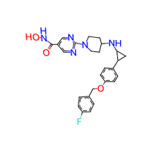 O=C(NO)c1cnc(N2CCC(NC3CC3c3ccc(OCc4ccc(F)cc4)cc3)CC2)nc1